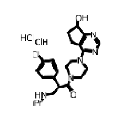 CC(C)NCC(C(=O)N1CCN(c2ncnc3c2CCC3O)CC1)c1ccc(Cl)cc1.Cl.Cl